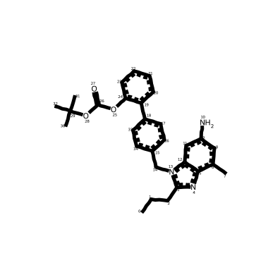 CCCc1nc2c(C)cc(N)cc2n1Cc1ccc(-c2ccccc2OC(=O)OC(C)(C)C)cc1